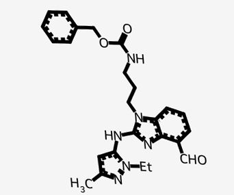 CCn1nc(C)cc1Nc1nc2c(C=O)cccc2n1CCCNC(=O)OCc1ccccc1